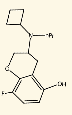 CCCN(C1CCC1)C1COc2c(F)ccc(O)c2C1